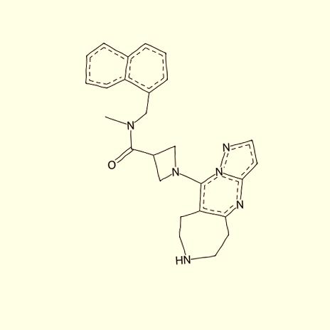 CN(Cc1cccc2ccccc12)C(=O)C1CN(c2c3c(nc4ccnn24)CCNCC3)C1